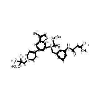 CC(C)=CC(=O)Nc1cccc(CN(C(=O)OC(C)(C)C)c2cc(C3=CCN(CC(C)(C)C(=O)O)CC3)nc3c(C(C)C)cnn23)c1